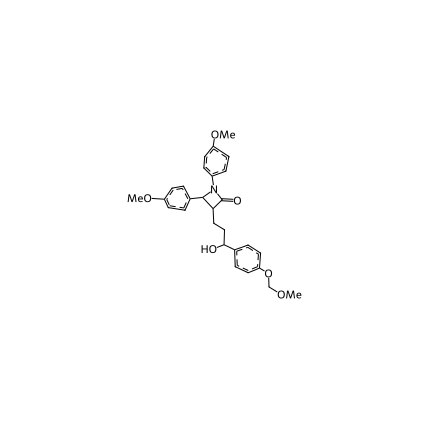 COCOc1ccc(C(O)CCC2C(=O)N(c3ccc(OC)cc3)C2c2ccc(OC)cc2)cc1